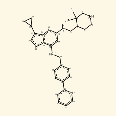 FC1(F)CNCCC1CNc1cc(NCc2ccc(-c3ccccn3)cc2)n2ncc(C3CC3)c2n1